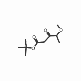 COC(C)C(=O)CC(=O)OC(C)(C)C